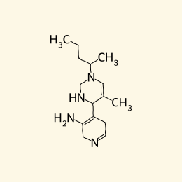 CCCC(C)N1C=C(C)C(C2=C(N)CN=CC2)NC1